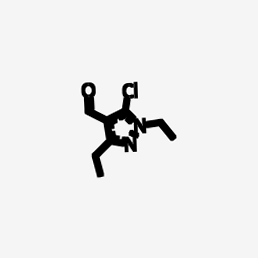 CCc1nn(CC)c(Cl)c1C=O